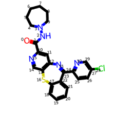 O=C(NN1CCCCCC1)c1cc2c(cn1)Sc1ccccc1C(c1ccc(Cl)cn1)=N2